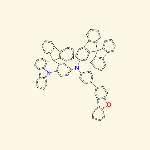 c1ccc2c(c1)-c1ccccc1C21c2ccccc2-c2ccc(N(c3ccc(-c4ccc5oc6ccccc6c5c4)cc3)c3ccc4c(c3)C3(c5ccccc5-c5ccccc53)c3cccc5c6ccccc6n-4c35)cc21